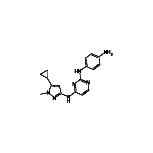 Cn1nc(Nc2ccnc(Nc3ccc(N)cc3)n2)cc1C1CC1